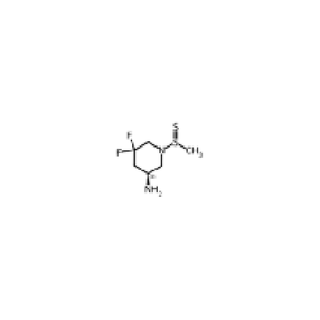 CS(=S)N1C[C@@H](N)CC(F)(F)C1